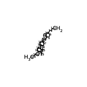 C=CCCC1CCC(COc2ccc(-c3ccc(OCCC)c(F)c3F)cc2)OC1